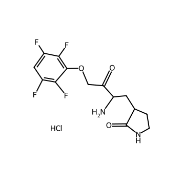 Cl.NC(CC1CCNC1=O)C(=O)COc1c(F)c(F)cc(F)c1F